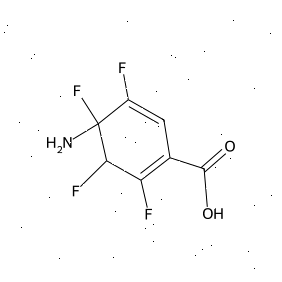 NC1(F)C(F)=CC(C(=O)O)=C(F)C1F